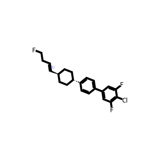 FCC/C=C/[C@H]1CC[C@H](c2ccc(-c3cc(F)c(Cl)c(F)c3)cc2)CC1